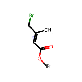 C/C(=C\C(=O)OC(C)C)CBr